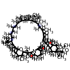 [2H]O[C@@]12O[C@@]([2H])(C([2H])([2H])C([2H])([2H])[C@@]1([2H])C)C([2H])([2H])[C@]([2H])(OC([2H])([2H])[2H])/C(C([2H])([2H])[2H])=C([2H])/C([2H])=C([2H])/C([2H])=C(\[2H])[C@@]([2H])(C)C([2H])(C)[C@@]([2H])(C)C(=O)[C@]([2H])(OC)[C@]([2H])(O[2H])/C(C)=C(\[2H])[C@@]([2H])(C)C(=O)C([2H])([2H])[C@@]([2H])([C@]([2H])(C)C([2H])([2H])[C@]1([2H])C([2H])([2H])C([2H])([2H])[C@@]([2H])(OP(C)(=O)C([2H])([2H])[2H])[C@]([2H])(OC)C1([2H])[2H])OC(=O)[C@@]1([2H])N(C(=O)C2=O)C([2H])([2H])C([2H])([2H])C([2H])([2H])C1([2H])[2H]